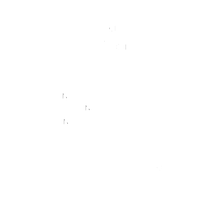 CC1(C)c2ccccc2-c2cc(-c3nc(-c4ccccc4)nc(-c4cc(-c5ccccc5)cc(-c5ccc6c(c5)oc5cccc(-c7ccc(-c8ccccc8)cc7)c56)c4)n3)ccc21